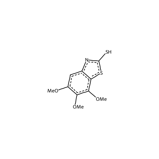 COc1cc2nc(S)sc2c(OC)c1OC